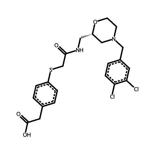 O=C(O)Cc1ccc(SCC(=O)NC[C@H]2CN(Cc3ccc(Cl)c(Cl)c3)CCO2)cc1